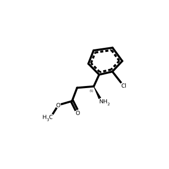 COC(=O)C[C@H](N)c1ccccc1Cl